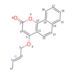 C/C=C/COc1cc(=O)oc2c1ccc1ccccc12